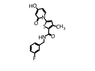 Cc1cc(-n2ccc(O)cc2=O)sc1C(=O)NCc1cccc(F)c1